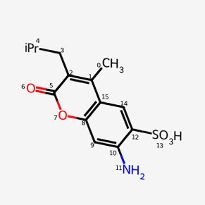 Cc1c(CC(C)C)c(=O)oc2cc(N)c(S(=O)(=O)O)cc12